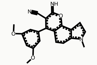 COc1cc(OC)cc(-c2c(C#N)c(=N)oc3c2ccc2c3ccn2C)c1